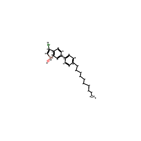 CCCCCCCCCCc1ccc(-c2ccc3c(c2)[SH]([O])C=C3Br)cc1